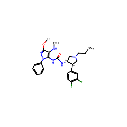 CCOc1nn(-c2ccccc2)c(NC(=O)N[C@@H]2CN(CCOC)C[C@H]2c2ccc(F)c(F)c2)c1NC(=O)O